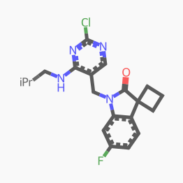 CC(C)CNc1nc(Cl)ncc1CN1C(=O)C2(CCC2)c2ccc(F)cc21